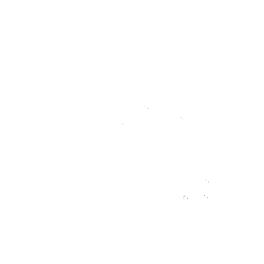 C=Cc1ccc(C(C(C)C)n2cnc(-c3cc(-c4nn[nH]c4C(F)(F)F)ccn3)c2)cc1